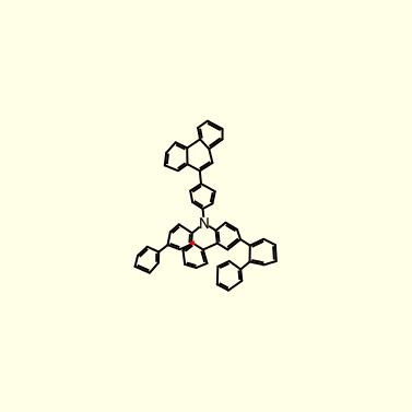 c1ccc(-c2ccc(N(c3ccc(-c4cc5ccccc5c5ccccc45)cc3)c3ccc(-c4ccccc4-c4ccccc4)cc3-c3ccccc3)cc2)cc1